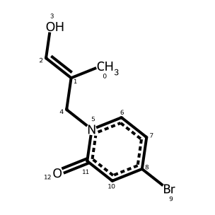 C/C(=C\O)Cn1ccc(Br)cc1=O